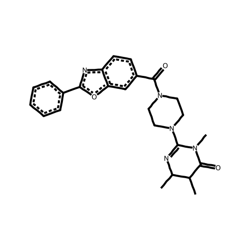 CC1N=C(N2CCN(C(=O)c3ccc4nc(-c5ccccc5)oc4c3)CC2)N(C)C(=O)C1C